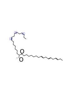 CCC=CCC=CCC=CCCCCCCCC(=O)C([C]=O)CCCCCC/C=C\C/C=C\C/C=C\CC